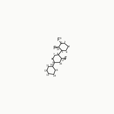 FC1CCCC(C2CCC(C3CCCCC3)CC2F)C1F